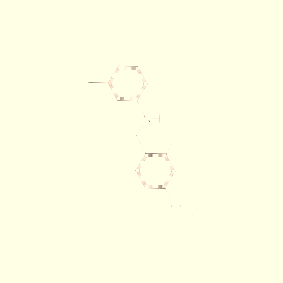 O=C(O)c1ccc(CNc2cccc(Cl)c2)c(F)c1